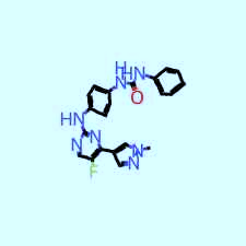 Cn1cc(-c2nc(Nc3ccc(NC(=O)Nc4ccccc4)cc3)ncc2F)cn1